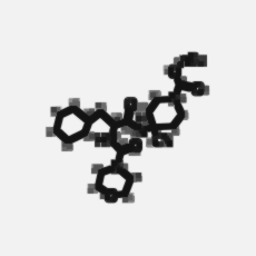 CCCCOC(=O)N1CCC(C#N)(NC(=O)C(CC2CCCCC2)NC(=O)N2CCOCC2)CC1